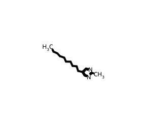 CCCCCCCCCCc1cnc(C)nc1